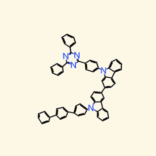 c1ccc(-c2ccc(-c3ccc(-n4c5ccccc5c5cc(-c6ccc7c8ccccc8n(-c8ccc(-c9nc(-c%10ccccc%10)nc(-c%10ccccc%10)n9)cc8)c7c6)ccc54)cc3)cc2)cc1